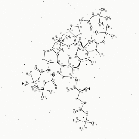 CN(C(=O)OC(C)(C)C)[C@@H]1[C@@H](O)[C@@H](O[C@@H]2[C@@H](O)[C@H](C3OC(CNC[C@@H]4C[C@H](NC(=O)OC(C)(C)C)CN4C(=O)OC(C)(C)C)=CC[C@H]3NC(=O)OC(C)(C)C)[C@@H](NC(=O)OC(C)(C)C)C[C@H]2NC(=O)[C@@H](O)CNC(=O)OC(C)(C)C)OC[C@]1(C)O